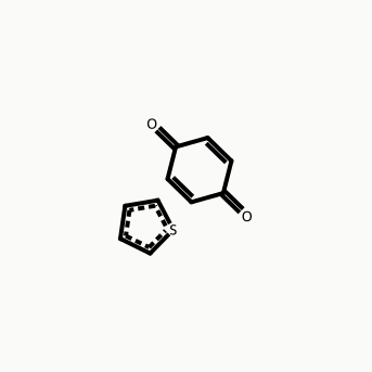 O=C1C=CC(=O)C=C1.c1ccsc1